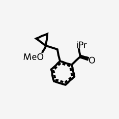 COC1(Cc2ccccc2C(=O)C(C)C)CC1